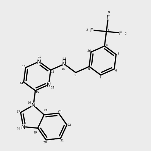 FC(F)(F)c1cccc(CNc2nccc(-n3cnc4ccccc43)n2)c1